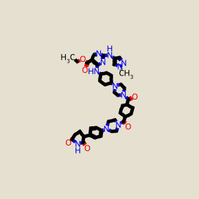 CCOC(=O)c1cnc(Nc2cnn(C)c2)nc1NC1CCC(N2CCN(C(=O)C3CCC(C(=O)N4CCN(c5ccc(C6CCC(=O)NC6=O)cc5)CC4)CC3)CC2)CC1